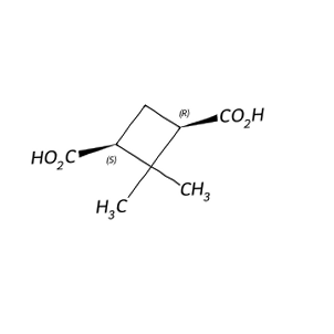 CC1(C)[C@@H](C(=O)O)C[C@H]1C(=O)O